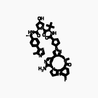 Cc1ncsc1-c1ccc([C@H](C)NC(=O)[C@@H]2C[C@@H](O)CN2C(=O)[C@@H](NC(=O)C2CCC(n3cc4c(n3)CN(C)C(=O)c3ccc(F)cc3[C@H]3CCCN3c3cc-4cnc3N)C2)C(C)(C)C)cc1